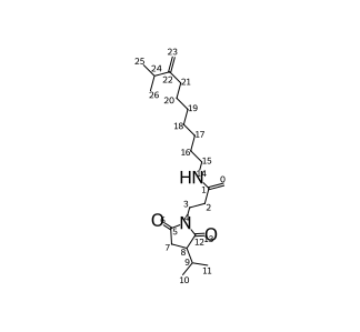 C=C(CCN1C(=O)CC(C(C)C)C1=O)NCCCCCCCC(=C)C(C)C